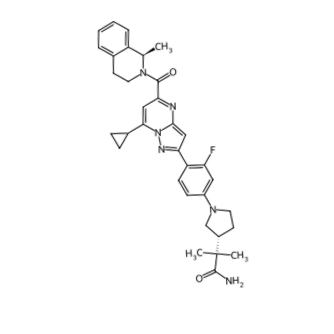 C[C@@H]1c2ccccc2CCN1C(=O)c1cc(C2CC2)n2nc(-c3ccc(N4CC[C@H](C(C)(C)C(N)=O)C4)cc3F)cc2n1